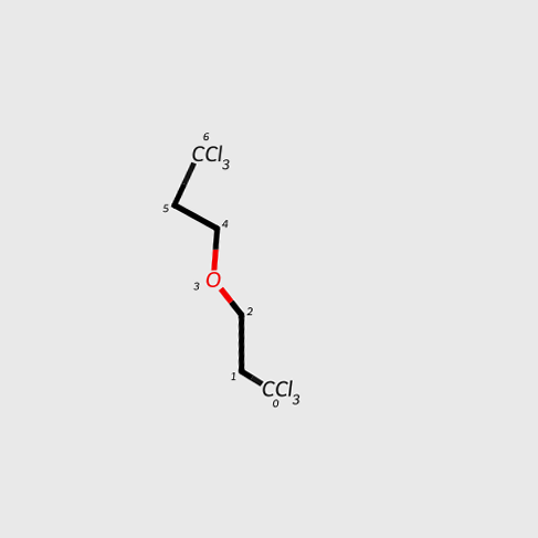 ClC(Cl)(Cl)CCOCCC(Cl)(Cl)Cl